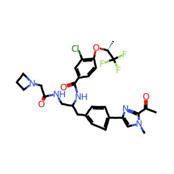 CC(=O)c1nc(-c2ccc(CC(CNC(=O)CN3CCC3)NC(=O)c3ccc(O[C@H](C)C(F)(F)F)c(Cl)c3)cc2)cn1C